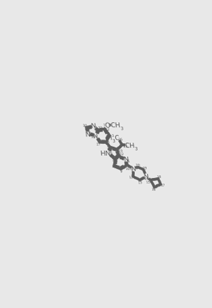 COc1cc(-c2[nH]c3ccc(N4CCN(C5CCC5)CC4)nc3c2C(C)C)cn2ncnc12